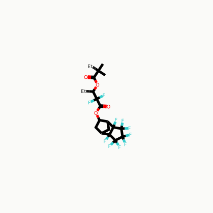 CCC(OC(=O)C(C)(C)CC)C(F)(F)C(=O)OC1CC2CC1C1(F)C(F)(F)C(F)(F)C(F)(F)C21F